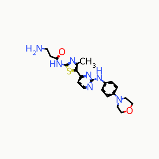 Cc1nc(NC(=O)CCN)sc1-c1ccnc(Nc2ccc(N3CCOCC3)cc2)n1